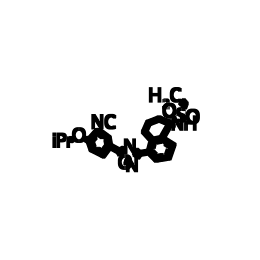 [C-]#[N+]c1cc(-c2nc(-c3cccc4c3CCC[C@H]4NS(=O)(=O)C=C)no2)ccc1OC(C)C